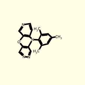 Cc1cc(C)c(N2c3ccncc3Oc3cnncc32)c(C)c1